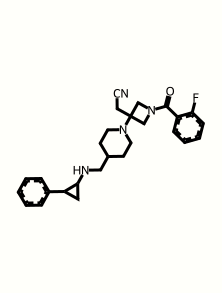 N#CCC1(N2CCC(CNC3CC3c3ccccc3)CC2)CN(C(=O)c2ccccc2F)C1